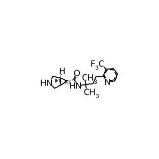 CC(C)(CCc1ncccc1C(F)(F)F)NC(=O)[C@@H]1C2CNC[C@H]21